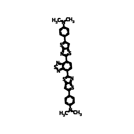 CN(C)c1ccc(-c2cc3sc(-c4ccc(-c5nc6sc(-c7ccc(N(C)C)cc7)cc6s5)c5nsnc45)nc3s2)cc1